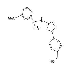 COc1cccc([C@@H](C)NC2CCC(c3ccc(CO)cc3)C2)c1